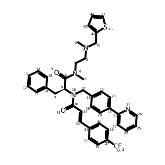 CN(CCN(C)C(=O)[C@H](Cc1ccccc1)N(Cc1ccc(-c2ccccn2)cc1)C(=O)/C=C/c1ccc(C(F)(F)F)cc1)Cc1cccs1